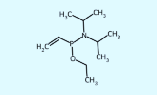 C=CP(OCC)N(C(C)C)C(C)C